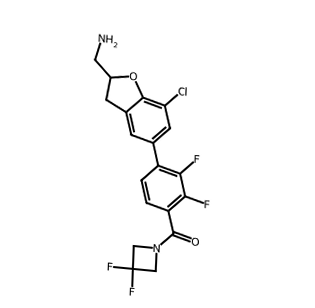 NCC1Cc2cc(-c3ccc(C(=O)N4CC(F)(F)C4)c(F)c3F)cc(Cl)c2O1